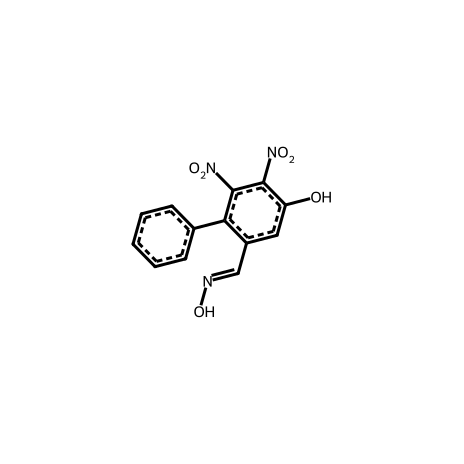 O=[N+]([O-])c1c(O)cc(C=NO)c(-c2ccccc2)c1[N+](=O)[O-]